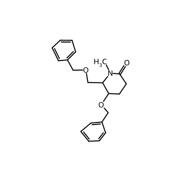 CN1C(=O)CCC(OCc2ccccc2)C1COCc1ccccc1